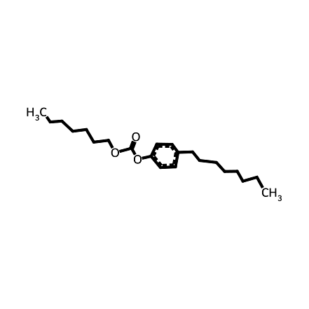 CCCCCCCCc1ccc(OC(=O)OCCCCCCC)cc1